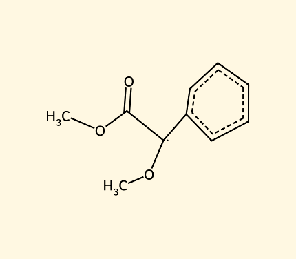 CO[C](C(=O)OC)c1ccccc1